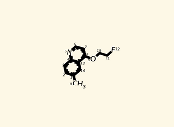 Cc1ccc2nccc(OCCF)c2c1